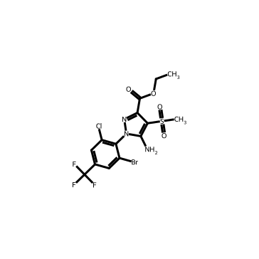 CCOC(=O)c1nn(-c2c(Cl)cc(C(F)(F)F)cc2Br)c(N)c1S(C)(=O)=O